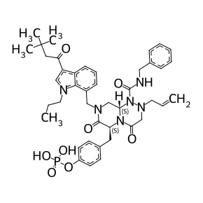 C=CCN1CC(=O)N2[C@@H](Cc3ccc(OP(=O)(O)O)cc3)C(=O)N(Cc3cccc4c(C(=O)CC(C)(C)C)cn(CCC)c34)C[C@@H]2N1C(=O)NCc1ccccc1